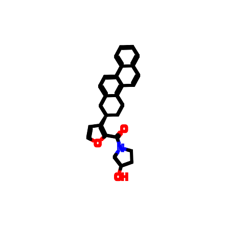 O=C(c1occc1[C@@H]1CCc2c(ccc3c2ccc2ccccc23)C1)N1CCC(O)C1